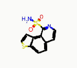 NS(=O)(=O)c1nccc2ccc3sccc3c12